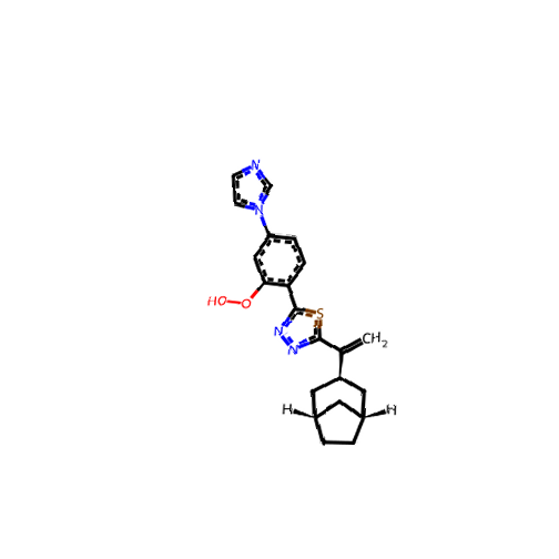 C=C(c1nnc(-c2ccc(-n3ccnc3)cc2OO)s1)[C@H]1C[C@@H]2CC[C@@H](C2)C1